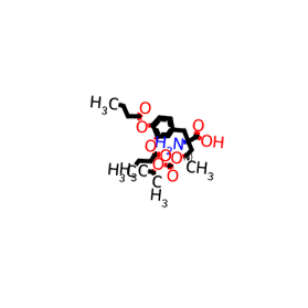 CCCC(=O)Oc1ccc(CC(N)(C[C@H](C)OC(=O)OC(C)C)C(=O)O)cc1OC(=O)CCC